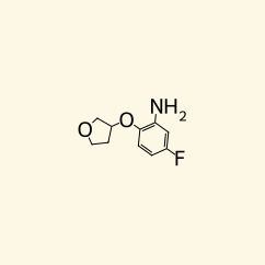 Nc1cc(F)ccc1OC1CCOC1